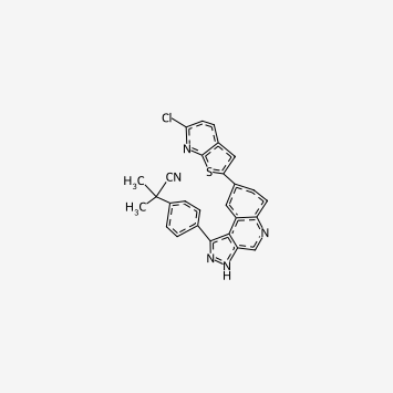 CC(C)(C#N)c1ccc(-c2n[nH]c3cnc4ccc(-c5cc6ccc(Cl)nc6s5)cc4c23)cc1